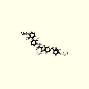 CNc1cccc(-c2cccc(NC(=O)c3nc4c(n3C)CCN(CC35CCC(C(=O)O)(CC3)C5)C4)c2Cl)c1Cl